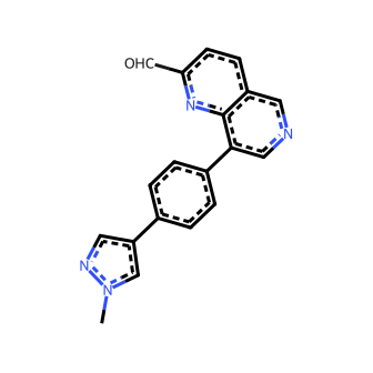 Cn1cc(-c2ccc(-c3cncc4ccc(C=O)nc34)cc2)cn1